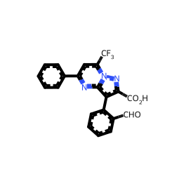 O=Cc1ccccc1-c1c(C(=O)O)nn2c(C(F)(F)F)cc(-c3ccccc3)nc12